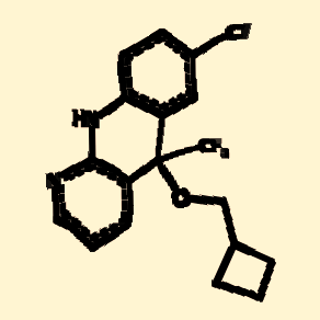 FC(F)(F)C1(OCC2CCC2)c2cc(Cl)ccc2Nc2ncccc21